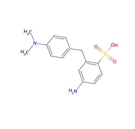 CN(C)c1ccc(Cc2cc(N)ccc2S(=O)(=O)O)cc1